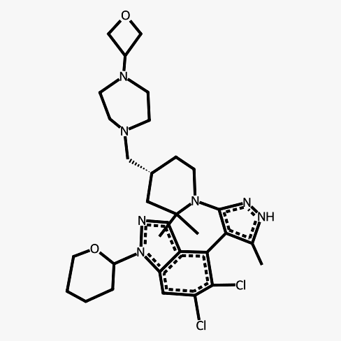 Cc1[nH]nc(N2CC[C@@H](CN3CCN(C4COC4)CC3)CC2(C)C)c1-c1c(Cl)c(Cl)cc2c1cnn2C1CCCCO1